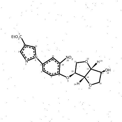 CCOC(=O)c1cnn(-c2ccc(O[C@H]3CO[C@H]4[C@@H]3OC[C@@H]4O)c([N+](=O)[O-])c2)c1